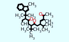 CCC(C(=O)CC(C(=O)CC(/C=C(\C)C(C)=O)C(C)C)C(C)(C)C)C(C)(C)C1=CC(C)c2ccccc21